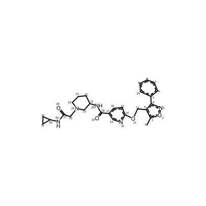 Cc1onc(-c2ccccc2)c1COc1ccc(C(=O)NC2CCCN(CC(=O)NC3CC3)C2)cn1